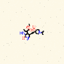 C=C(C)N1CCC(O)(C#Cc2cn(C)c(=O)c3[nH]c(C)c(C(=O)OCC)c23)CC1